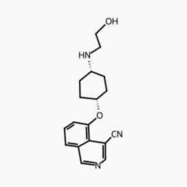 N#Cc1cncc2cccc(O[C@H]3CC[C@@H](NCCO)CC3)c12